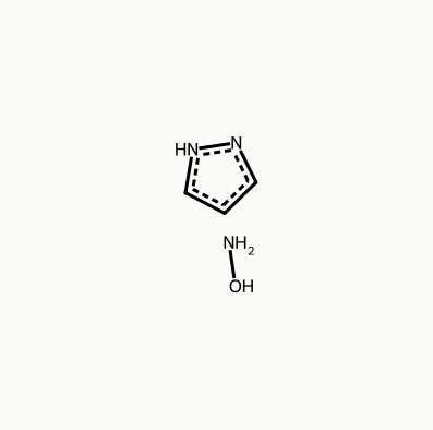 NO.c1cn[nH]c1